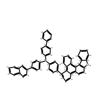 c1ccc(-c2ccc(N(c3ccc(-c4ccc5ccccc5c4)cc3)c3ccc(-c4cccc5c6ccc7oc8ccccc8c7c6c6ccccc6c45)cc3)cc2)cc1